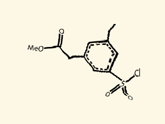 COC(=O)Cc1cc(C)cc(S(=O)(=O)Cl)c1